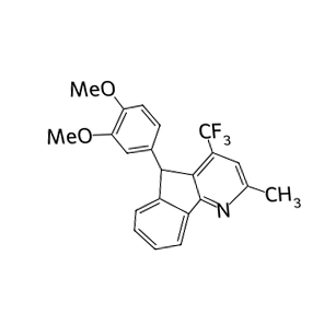 COc1ccc(C2c3ccccc3-c3nc(C)cc(C(F)(F)F)c32)cc1OC